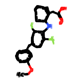 COc1cccc(-c2cc(F)c(Nc3ccccc3C(=O)O)c(F)c2)c1